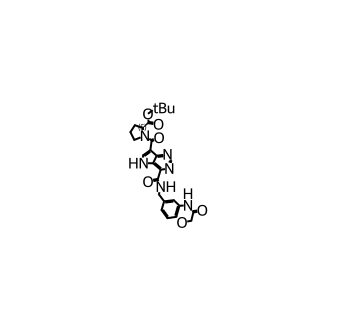 CC(C)(C)OC(=O)[C@@H]1CCCN1C(=O)c1c[nH]c2c(C(=O)NCc3ccc4c(c3)NC(=O)CO4)ncnc12